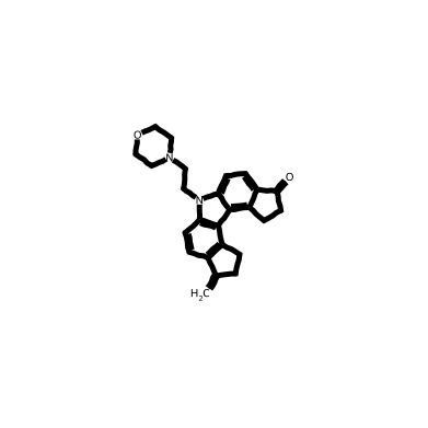 C=C1CCc2c1ccc1c2c2c3c(ccc2n1CCN1CCOCC1)C(=O)CC3